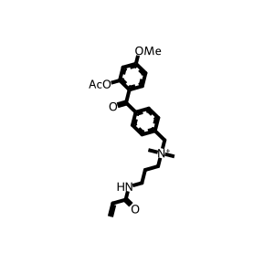 C=CC(=O)NCCC[N+](C)(C)Cc1ccc(C(=O)c2ccc(OC)cc2OC(C)=O)cc1